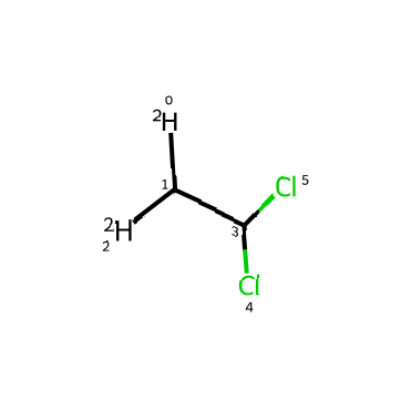 [2H]C([2H])C(Cl)Cl